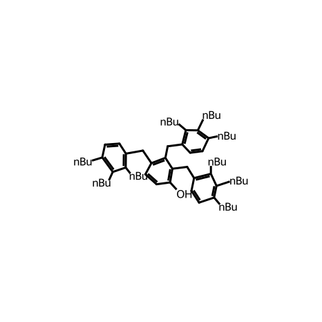 CCCCc1ccc(Cc2ccc(O)c(Cc3ccc(CCCC)c(CCCC)c3CCCC)c2Cc2ccc(CCCC)c(CCCC)c2CCCC)c(CCCC)c1CCCC